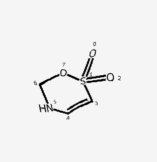 O=S1(=O)C=CNCO1